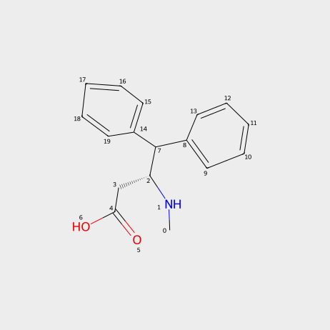 CN[C@H](CC(=O)O)C(c1ccccc1)c1ccccc1